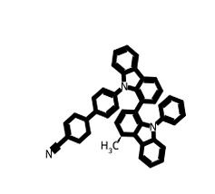 C[C@@H]1C=CC(c2cccc3c4ccccc4n(C4=CCC(C5CC=C(C#N)CC5)C=C4)c23)=C2C1C1C=CC=CC1N2c1ccccc1